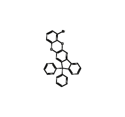 Brc1cccc2c1Oc1cc3c(cc1O2)C(c1ccccc1)(c1ccccc1)c1ccccc1-3